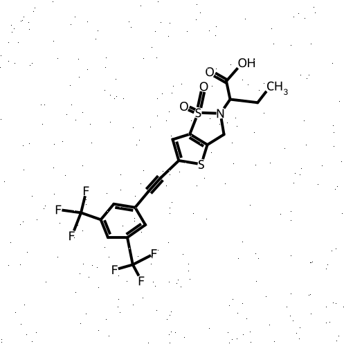 CCC(C(=O)O)N1Cc2sc(C#Cc3cc(C(F)(F)F)cc(C(F)(F)F)c3)cc2S1(=O)=O